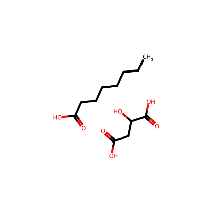 CCCCCCCC(=O)O.O=C(O)CC(O)C(=O)O